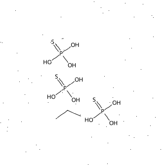 CCC.OP(O)(O)=S.OP(O)(O)=S.OP(O)(O)=S